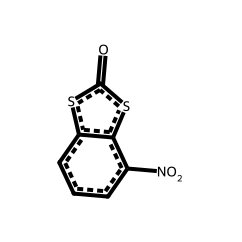 O=c1sc2cccc([N+](=O)[O-])c2s1